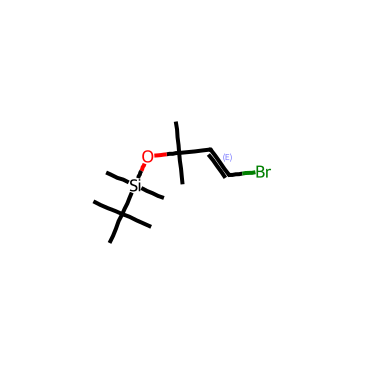 CC(C)(/C=C/Br)O[Si](C)(C)C(C)(C)C